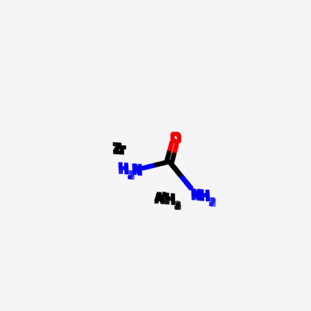 NC(N)=O.[AlH3].[Zr]